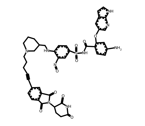 Nc1ccc(C(=O)NS(=O)(=O)c2ccc(NCC3CCCN(CCCC#Cc4ccc5c(c4)C(=O)N(C4CCC(=O)NC4=O)C5=O)C3)c(N=O)c2)c(Oc2cnc3[nH]ccc3c2)c1